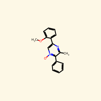 COc1ccccc1-c1c[n+]([O-])c(-c2ccccc2)c(C)n1